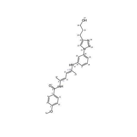 COc1ccc(C(=O)N/C(C)=C/C=C(\C)Nc2cccc(-n3cc(CCCO)nn3)c2)cc1